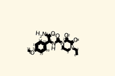 CCN1CCN(C(=O)NC(C(N)=O)c2ccc(OC)cc2)C(=O)C1=O